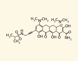 CC(C)S(=O)(=O)NCC#Cc1cc(N(C)C)c2c(c1O)C(=O)C1=C(O)C3C(=O)C(C(N)=O)=C(O)[C@@H](N(C)C)C3CC1C2